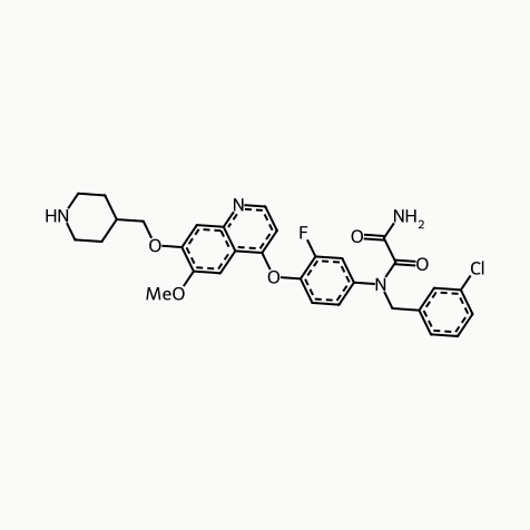 COc1cc2c(Oc3ccc(N(Cc4cccc(Cl)c4)C(=O)C(N)=O)cc3F)ccnc2cc1OCC1CCNCC1